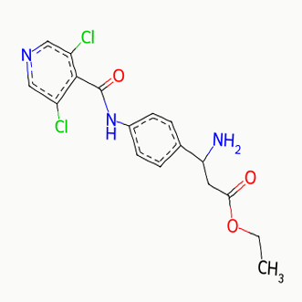 CCOC(=O)CC(N)c1ccc(NC(=O)c2c(Cl)cncc2Cl)cc1